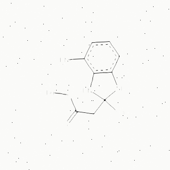 CCCC1(CC(=O)OC(C)(C)C)Nc2cccc(N)c2N1